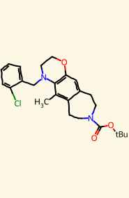 Cc1c2c(cc3c1N(Cc1ccccc1Cl)CCO3)CCN(C(=O)OC(C)(C)C)CC2